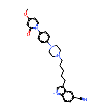 COc1ccn(-c2ccc(N3CCN(CCCCCc4c[nH]c5ccc(C#N)cc45)CC3)cc2)c(=O)c1